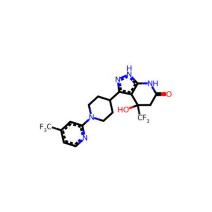 O=C1CC(O)(C(F)(F)F)c2c(C3CCN(c4cc(C(F)(F)F)ccn4)CC3)n[nH]c2N1